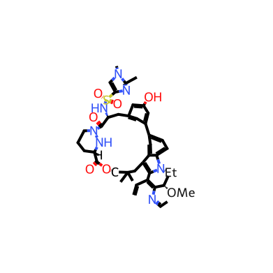 C=C/C(=C(\N=C/C)[C@H](C)OC)c1c2c3cc(ccc3n1CC)-c1cc(O)cc(c1)C[C@H](NS(=O)(=O)c1cn(C)c(C)n1)C(=O)N1CCC[C@H](N1)C(=O)OCC(C)(C)C2